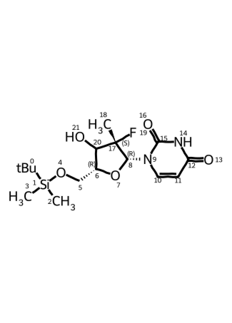 CC(C)(C)[Si](C)(C)OC[C@H]1O[C@@H](n2ccc(=O)[nH]c2=O)[C@@](C)(F)C1O